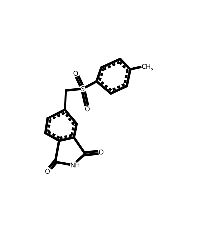 Cc1ccc(S(=O)(=O)Cc2ccc3c(c2)C(=O)NC3=O)cc1